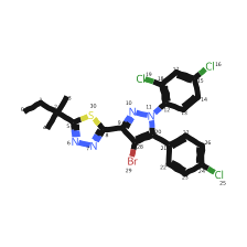 CCC(C)(C)c1nnc(-c2nn(-c3ccc(Cl)cc3Cl)c(-c3ccc(Cl)cc3)c2Br)s1